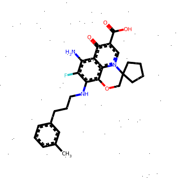 Cc1cccc(CCCNc2c(F)c(N)c3c(=O)c(C(=O)O)cn4c3c2OCC42CCCC2)c1